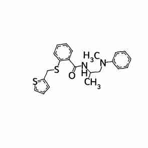 CC(CN(C)c1ccccc1)NC(=O)c1ccccc1SCc1cccs1